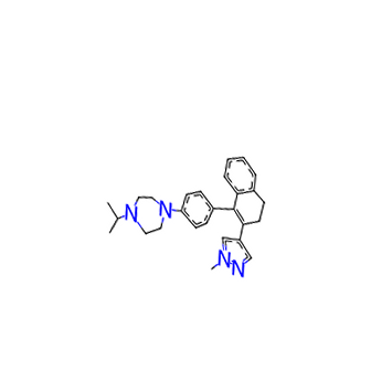 CC(C)N1CCN(c2ccc(C3=C(c4cnn(C)c4)CCc4ccccc43)cc2)CC1